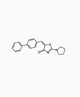 O=C1N=C(N2CCCC2)SC1=Cc1ccc(-c2ccccc2)cc1